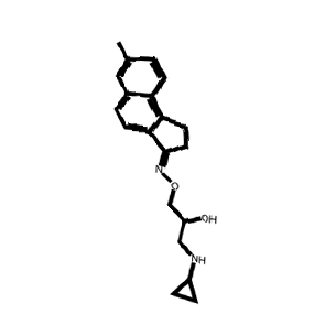 Cc1ccc2c3c(ccc2c1)C(=NOCC(O)CNC1CC1)CC3